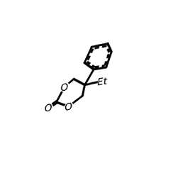 CCC1(c2ccccc2)COC(=O)OC1